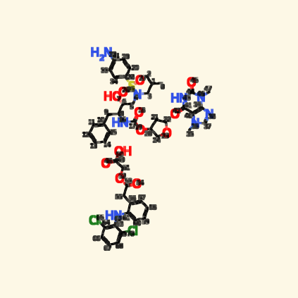 CC(C)CN(C[C@@H](O)[C@H](Cc1ccccc1)NC(=O)O[C@H]1CCOC1)S(=O)(=O)c1ccc(N)cc1.Cn1cnc2c1c(=O)[nH]c(=O)n2C.O=C(O)COC(=O)Cc1ccccc1Nc1c(Cl)cccc1Cl